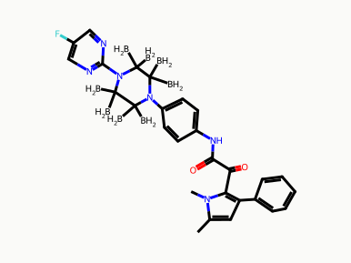 BC1(B)N(c2ccc(NC(=O)C(=O)c3c(-c4ccccc4)cc(C)n3C)cc2)C(B)(B)C(B)(B)N(c2ncc(F)cn2)C1(B)B